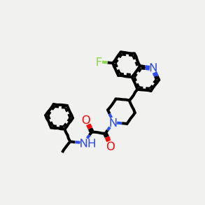 CC(NC(=O)C(=O)N1CCC(c2ccnc3ccc(F)cc23)CC1)c1ccccc1